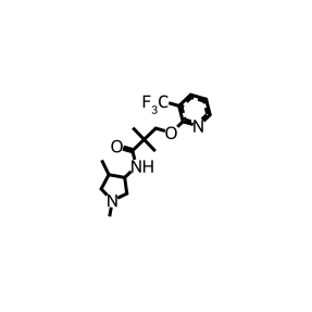 CC1CN(C)CC1NC(=O)C(C)(C)COc1ncccc1C(F)(F)F